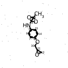 CC12OC1(Nc1ccc(OCC3CO3)cc1)O2